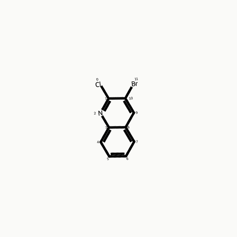 Clc1nc2ccccc2cc1Br